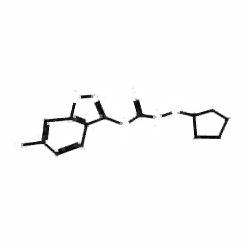 O=C(NSC1CCCC1)Nc1noc2cc(Cl)ccc12